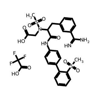 CS(=O)(=O)c1ccccc1-c1ccc(NC(=O)C(Cc2cccc(C(=N)N)c2)N(CC(=O)O)S(C)(=O)=O)cc1.O=C(O)C(F)(F)F